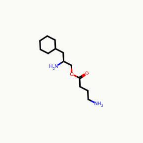 NCCCC(=O)OCC(N)CC1CCCCC1